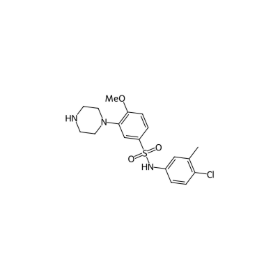 COc1ccc(S(=O)(=O)Nc2ccc(Cl)c(C)c2)cc1N1CCNCC1